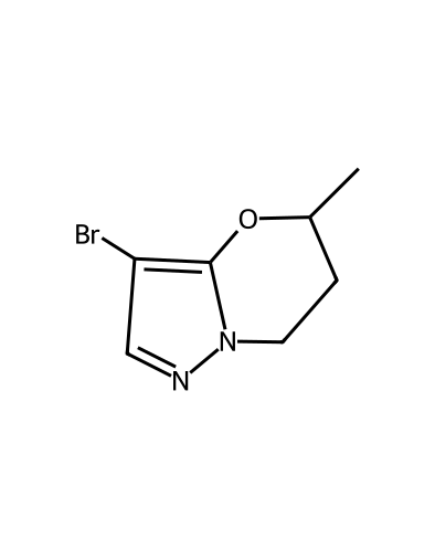 CC1CCn2ncc(Br)c2O1